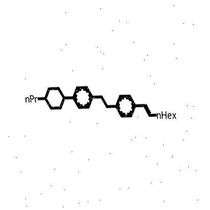 CCCCCCC=Cc1ccc(CCc2ccc(C3CCC(CCC)CC3)cc2)cc1